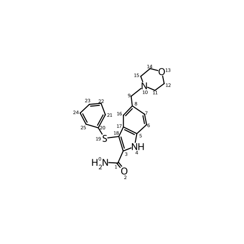 NC(=O)c1[nH]c2ccc(CN3CCOCC3)cc2c1Sc1ccccc1